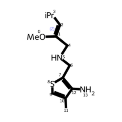 CO/C(=C\C(C)C)CNCc1scc(C)c1N